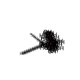 CCCCCCCCCCCCC/C=C/[C@@H](O)[C@H](CO[C@@H]1OC(CO)[C@@H](O[C@@H]2OC(CO)[C@H](O)[C@H](O[C@@H]3OC(CO)[C@@H](O)[C@H](O[C@@H]4OC(CO)[C@H](O)[C@H](O[C@]5(C(=O)O)CC(O)[C@@H](NC(C)=O)C([C@H](O)[C@@H](CO)O[C@]6(C(=O)O)CC(O)[C@@H](NC(C)=O)C([C@H](O)[C@H](O)CO)O6)O5)C4O)C3NC(C)=O)C2O)[C@H](O)C1O)NC(=O)CCCCCCCCCCCCCCCCCCCCC